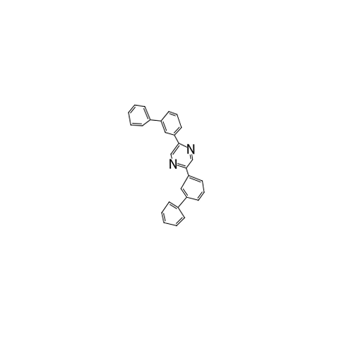 c1ccc(-c2cccc(-c3cnc(-c4cccc(-c5ccccc5)c4)cn3)c2)cc1